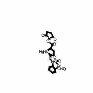 O=Cc1ccccc1N(N=c1ccc(C(=O)ON2C(=O)CCC2=O)c[nH]1)S(=O)(=O)[O-].[Na+]